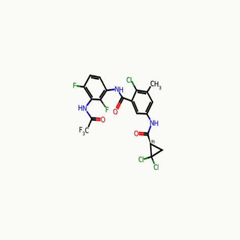 Cc1cc(NC(=O)[C@H]2CC2(Cl)Cl)cc(C(=O)Nc2ccc(F)c(NC(=O)C(F)(F)F)c2F)c1Cl